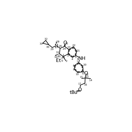 CC[C@@]1(C)c2cc(Nc3cccc(OC(C)(C)CCOC(C)(C)C)c3)ccc2C(=O)C(N(C)CC2CC2)[C@@H]1C